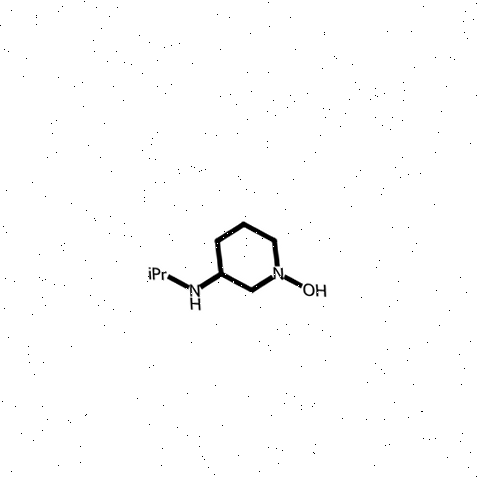 CC(C)NC1CCCN(O)C1